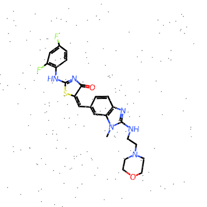 Cn1c(NCCN2CCOCC2)nc2ccc(C=C3SC(Nc4ccc(F)cc4F)=NC3=O)cc21